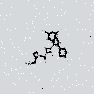 COCC1CCN1C(=O)[C@H]1C[C@H](c2c(-c3ccc(F)cc3)[nH]c3c(F)cc(F)cc32)C1